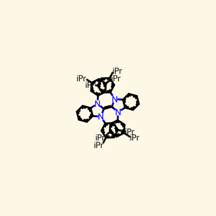 CC(C)c1cc(C(C)C)cc(N2C(=C3N(c4cc(C(C)C)cc(C(C)C)c4)c4ccccc4N3c3cc(C(C)C)cc(C(C)C)c3)N(c3cc(C(C)C)cc(C(C)C)c3)c3ccccc32)c1